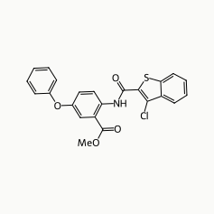 COC(=O)c1cc(Oc2ccccc2)ccc1NC(=O)c1sc2ccccc2c1Cl